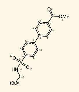 COC(=O)c1ccc(-c2ccc(S(=O)(=O)NCC(C)(C)C)cc2)cc1